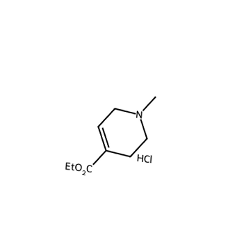 CCOC(=O)C1=CCN(C)CC1.Cl